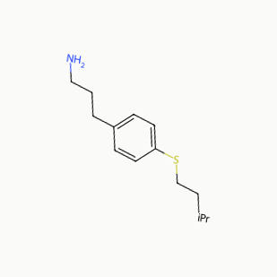 CC(C)CCSc1ccc(CCCN)cc1